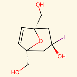 OC[C@@]12C=C[C@@](CO)(C[C@](O)(I)C1)O2